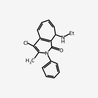 CCNC1C=CC=Cc2c(Cl)c(C)n(-c3ccccc3)c(=O)c21